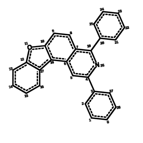 c1ccc(-c2cc3c(ccc4oc5ccccc5c43)c(-c3ccccc3)n2)cc1